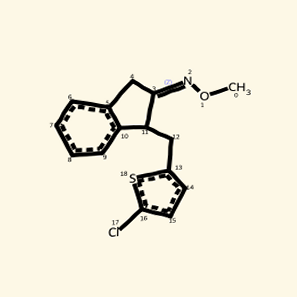 CO/N=C1/Cc2ccccc2C1Cc1ccc(Cl)s1